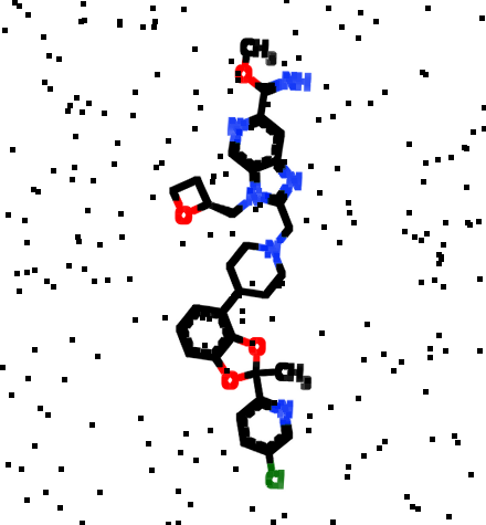 COC(=N)c1cc2nc(CN3CCC(c4cccc5c4OC(C)(c4ccc(Cl)cn4)O5)CC3)n(C[C@@H]3CCO3)c2cn1